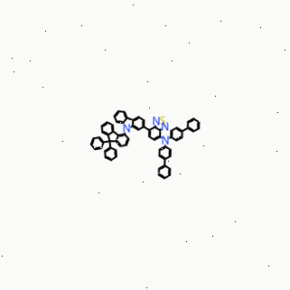 c1ccc(-c2ccc(N(c3ccc(-c4ccccc4)cc3)c3ccc(-c4ccc5c6ccccc6n(-c6cccc7c6-c6ccccc6C7(c6ccccc6)c6ccccc6)c5c4)c4nsnc34)cc2)cc1